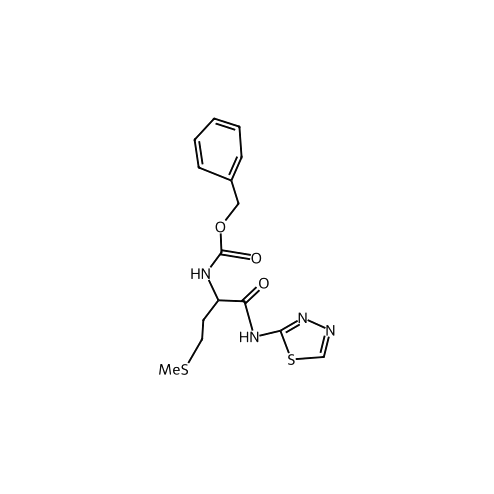 CSCCC(NC(=O)OCc1ccccc1)C(=O)Nc1nncs1